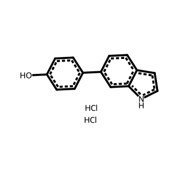 Cl.Cl.Oc1ccc(-c2ccc3cc[nH]c3c2)cc1